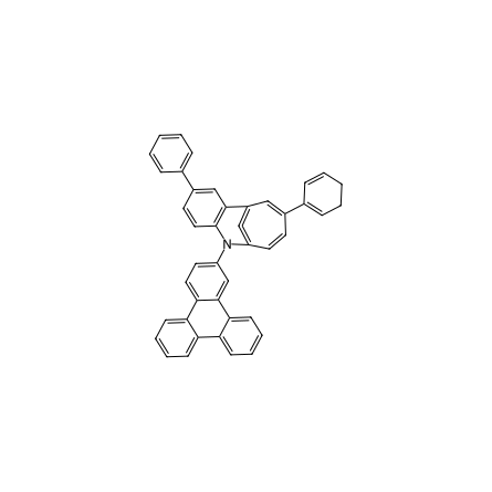 C1=C2C=C(C3=CCCC=C3)C=CC=1N(c1ccc3c4ccccc4c4ccccc4c3c1)c1ccc(-c3ccccc3)cc12